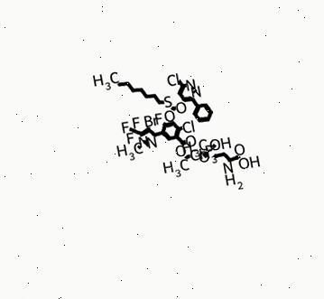 CC(C)OC(=O)c1cc(-c2nn(C)c(C(F)(F)F)c2Br)c(F)cc1Cl.CCCCCCCCSC(=O)Oc1cc(Cl)nnc1-c1ccccc1.CP(=O)(O)CCC(N)C(=O)O